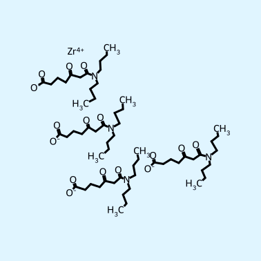 CCCCN(CCCC)C(=O)CC(=O)CCCC(=O)[O-].CCCCN(CCCC)C(=O)CC(=O)CCCC(=O)[O-].CCCCN(CCCC)C(=O)CC(=O)CCCC(=O)[O-].CCCCN(CCCC)C(=O)CC(=O)CCCC(=O)[O-].[Zr+4]